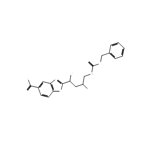 CC(CNC(=O)OCc1ccccc1)CC(O)c1nc2cc(C(N)=O)ccc2o1